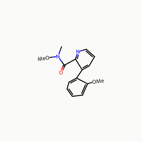 COc1ccccc1-c1cccnc1C(=O)N(C)OC